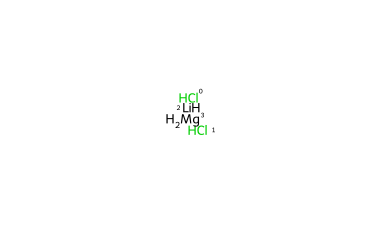 Cl.Cl.[LiH].[MgH2]